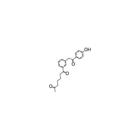 CC(=O)CCCCC(=O)c1cccc(CC(=O)c2ccc(O)cc2)c1